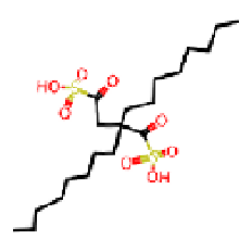 CCCCCCCCC(CCCCCCCC)(CC(=O)S(=O)(=O)O)C(=O)S(=O)(=O)O